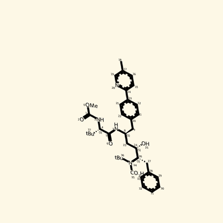 COC(=O)N[C@H](C(=O)N[C@@H](Cc1ccc(-c2ccc(C)cn2)cc1)C[C@H](O)[C@H](Cc1ccccc1)N(C(=O)O)C(C)(C)C)C(C)(C)C